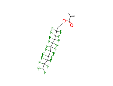 C=C(C)C(=O)OCCC(F)(F)C(F)(F)C(F)(F)C(F)(F)C(F)(F)C(F)(F)C(F)(F)C(F)(F)C(F)(F)C(F)F